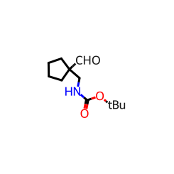 CC(C)(C)OC(=O)NCC1(C=O)CCCC1